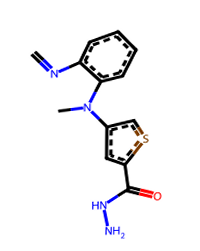 C=Nc1ccccc1N(C)c1csc(C(=O)NN)c1